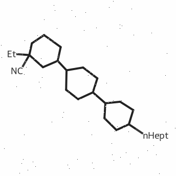 CCCCCCCC1CCC(C2CCC(C3CCCC(C#N)(CC)C3)CC2)CC1